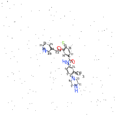 O=C(Nc1ccc(N2CCNCC2)c(C(F)(F)F)c1)c1ccc(F)c(OCc2cccnc2)c1